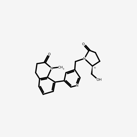 CN1C(=O)CCc2cccc(-c3cncc(CN4C(=O)CC[C@H]4CO)c3)c21